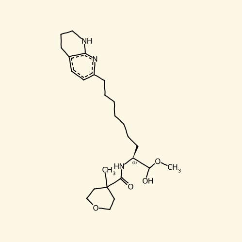 COC(O)[C@H](CCCCCCCc1ccc2c(n1)NCCC2)NC(=O)C1(C)CCOCC1